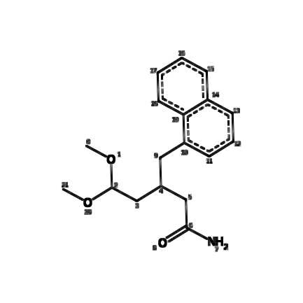 COC(CC(CC(N)=O)Cc1cccc2ccccc12)OC